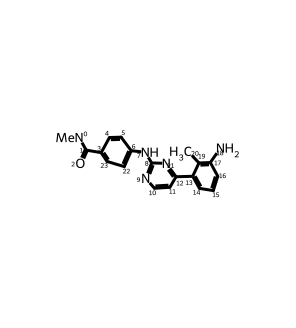 CNC(=O)c1ccc(Nc2nccc(-c3cccc(N)c3C)n2)cc1